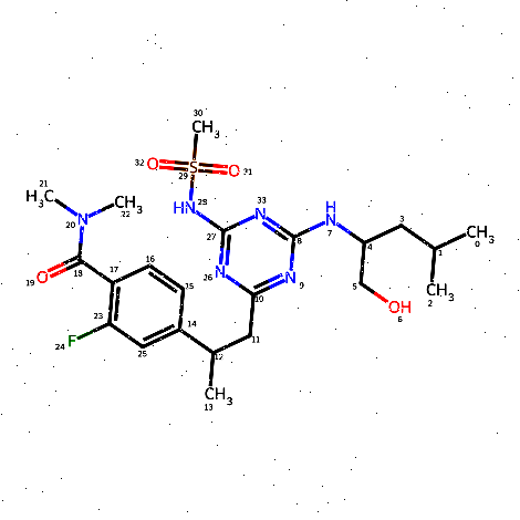 CC(C)CC(CO)Nc1nc(CC(C)c2ccc(C(=O)N(C)C)c(F)c2)nc(NS(C)(=O)=O)n1